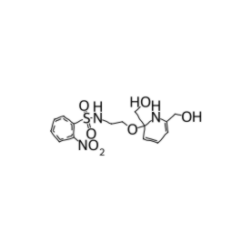 O=[N+]([O-])c1ccccc1S(=O)(=O)NCCOC1(CO)C=CC=C(CO)N1